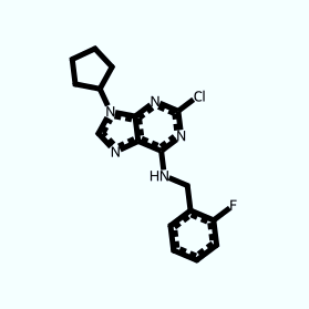 Fc1ccccc1CNc1nc(Cl)nc2c1ncn2C1CCCC1